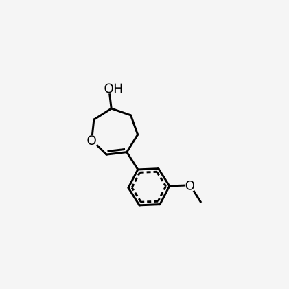 COc1cccc(C2=COCC(O)CC2)c1